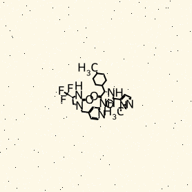 CC1CCC([C@H](NC(=O)c2ccnn2C)C(=O)Nc2cc(CN3C[C@@H](C(F)(F)F)NC3=O)ccn2)CC1